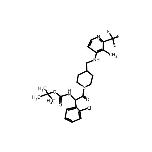 Cc1c(NCC2CCN(C(=O)C(NC(=O)OC(C)(C)C)c3ccccc3Cl)CC2)ccnc1C(F)(F)F